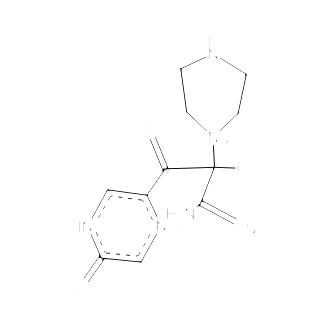 CC(C(N)=O)(C(=O)c1c[nH]c(=O)cn1)N1CCNCC1